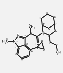 CC(C(=O)N1C(CCC#N)CC2CCCC1C2)c1nn(C)c2cccc(C3CC3)c12